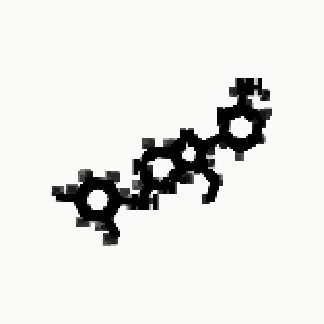 CCn1c(-c2ccnc(N)n2)nc2cnc(Nc3ccc(C)cc3C)nc21